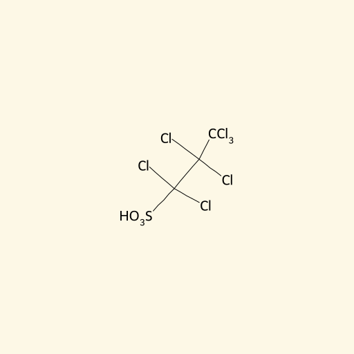 O=S(=O)(O)C(Cl)(Cl)C(Cl)(Cl)C(Cl)(Cl)Cl